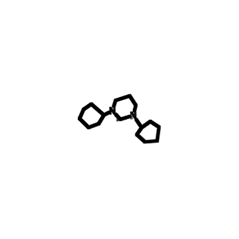 [C]1N(C2CCCCC2)CCCN1C1CCCCC1